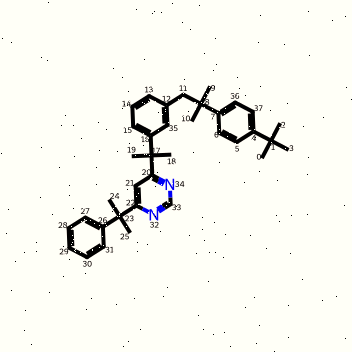 CC(C)(C)c1ccc(C(C)(C)Cc2cccc(C(C)(C)c3cc(C(C)(C)c4ccccc4)ncn3)c2)cc1